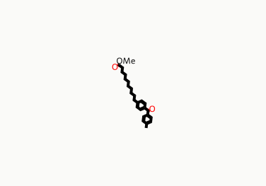 COC(=O)CCCCCCCCCCc1ccc(C(=O)c2ccc(C)cc2)cc1